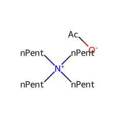 CC(=O)[O-].CCCCC[N+](CCCCC)(CCCCC)CCCCC